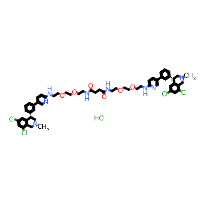 CN1Cc2c(Cl)cc(Cl)cc2[C@H](c2cccc(-c3ccc(NCCOCCOCCNC(=O)CCC(=O)NCCOCCOCCNc4ccc(-c5cccc([C@@H]6CN(C)Cc7c(Cl)cc(Cl)cc76)c5)cn4)nc3)c2)C1.Cl